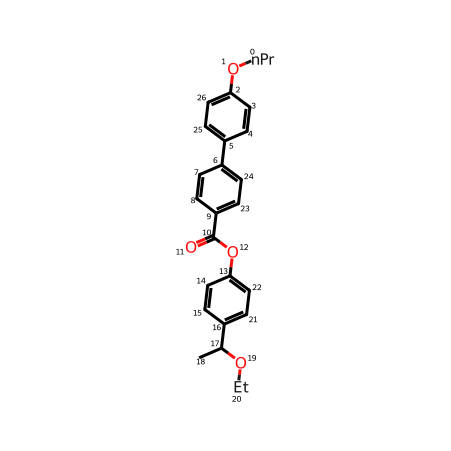 CCCOc1ccc(-c2ccc(C(=O)Oc3ccc(C(C)OCC)cc3)cc2)cc1